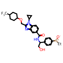 CC[S+]([O-])c1ccc(C(CO)NC(=O)c2ccc3c(c2)nc(COC2CCC(C(F)(F)F)CC2)n3C2CC2)cc1